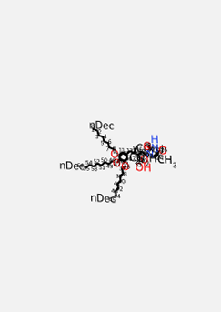 CCCCCCCCCCCCCCCCCCOc1cc(CC(CC(=O)O)(C(=O)O)[C@H]2C[C@H](n3cc(C)c(=O)[nH]c3=O)O[C@@H]2CO)cc(OCCCCCCCCCCCCCCCCCC)c1OCCCCCCCCCCCCCCCCCC